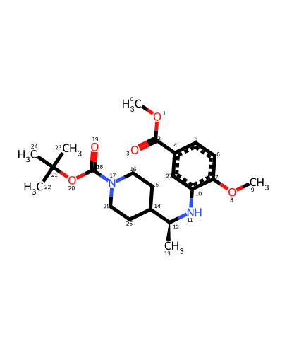 COC(=O)c1ccc(OC)c(N[C@@H](C)C2CCN(C(=O)OC(C)(C)C)CC2)c1